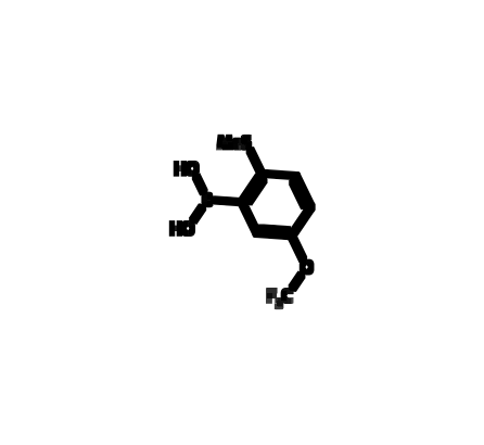 CSc1ccc(OC(F)(F)F)cc1B(O)O